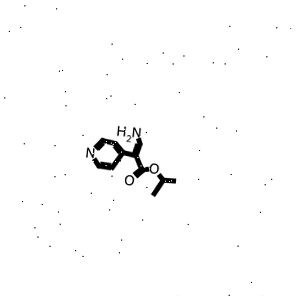 CC(C)OC(=O)/C(=C/N)c1ccncc1